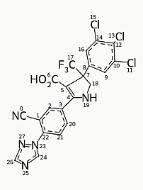 N#Cc1cc(C2=C(C(=O)O)C(c3cc(Cl)c(Cl)c(Cl)c3)(C(F)(F)F)CN2)ccc1-n1cncn1